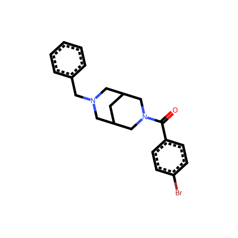 O=C(c1ccc(Br)cc1)N1CC2CC(CN(Cc3ccccc3)C2)C1